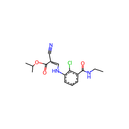 CCNC(=O)c1cccc(NC=C(C#N)C(=O)OC(C)C)c1Cl